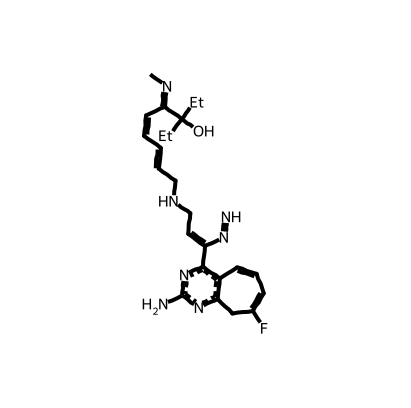 CCC(O)(CC)C(/C=C\C=C\CNC/C=C(\N=N)c1nc(N)nc2c1C=CC=C(F)C2)=N/C